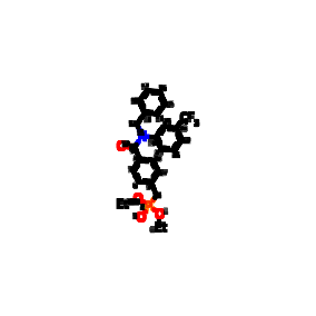 CCOP(=O)(Cc1ccc(C(=O)N(Cc2ccccc2)c2cccc(C(F)(F)F)c2)cc1)OCC